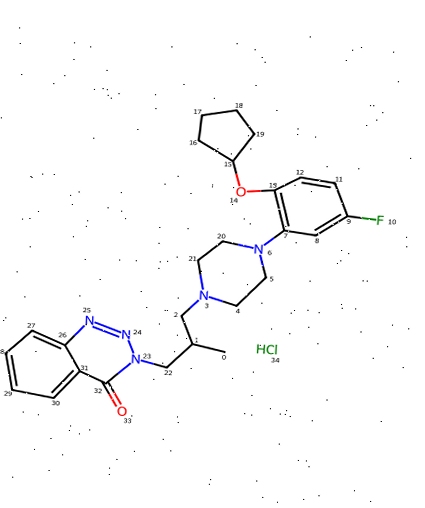 CC(CN1CCN(c2cc(F)ccc2OC2CCCC2)CC1)Cn1nnc2ccccc2c1=O.Cl